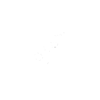 CCC(=O)Oc1c(C)cccc1C(=O)Nc1nc(N=[N+]=[N-])cs1